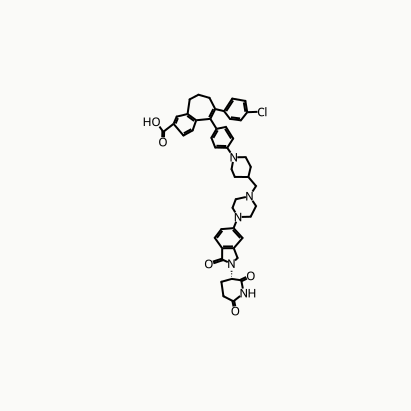 O=C1CC[C@H](N2Cc3cc(N4CCN(CC5CCN(c6ccc(C7=C(c8ccc(Cl)cc8)CCCc8cc(C(=O)O)ccc87)cc6)CC5)CC4)ccc3C2=O)C(=O)N1